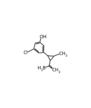 BC(=C)C1C(C)C1c1cc(O)cc(Cl)c1